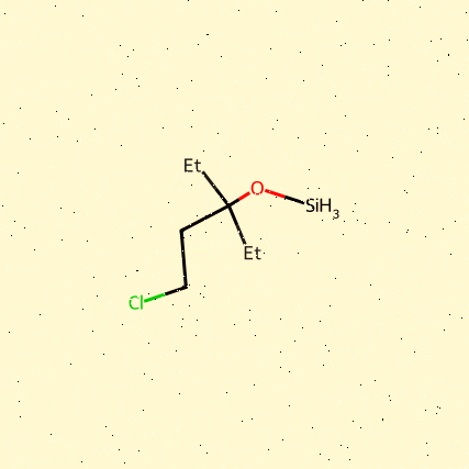 CCC(CC)(CCCl)O[SiH3]